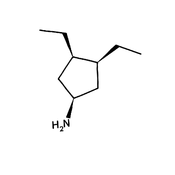 CC[C@@H]1C[C@H](N)C[C@@H]1CC